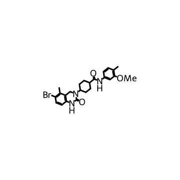 COc1cc(NC(=O)C2CCC(N3Cc4c(ccc(Br)c4C)NC3=O)CC2)ccc1C